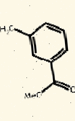 [CH2]c1cccc(C(=O)OC)c1